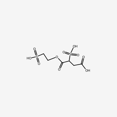 O=C(O)CC(C(=O)OCCS(=O)(=O)O)S(=O)(=O)O